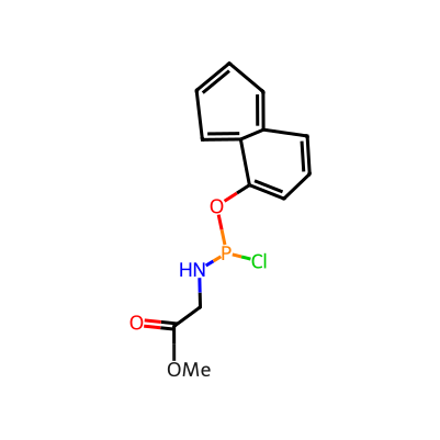 COC(=O)CNP(Cl)Oc1cccc2ccccc12